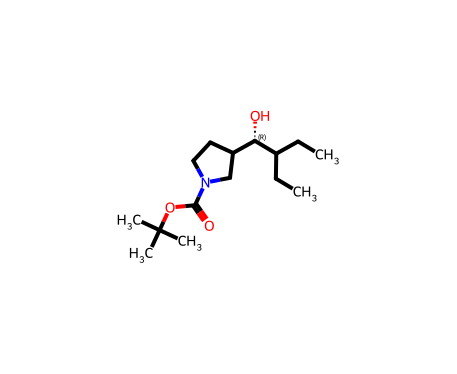 CCC(CC)[C@@H](O)C1CCN(C(=O)OC(C)(C)C)C1